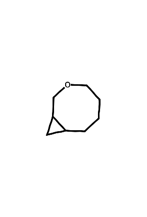 C1CCC2CC2COC1